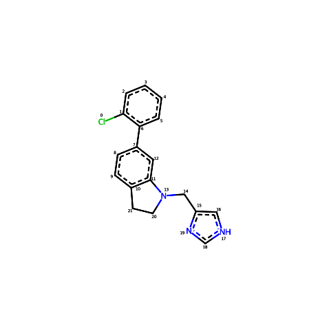 Clc1ccccc1-c1ccc2c(c1)N(Cc1c[nH]cn1)CC2